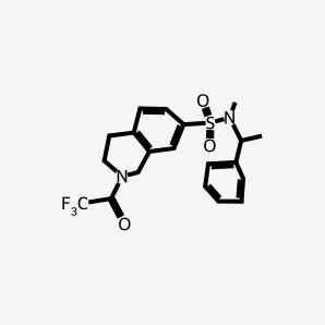 CC(c1ccccc1)N(C)S(=O)(=O)c1ccc2c(c1)CN(C(=O)C(F)(F)F)CC2